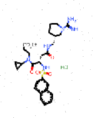 CCOC(=O)CCN(C(=O)[C@H](CC(=O)NC[C@@H]1CCCN(C(=N)N)C1)NS(=O)(=O)c1ccc2ccccc2c1)C1CC1.Cl